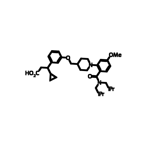 COc1ccc(C(=O)N(CC(C)C)CC(C)C)c(N2CCC(COc3cccc(C(CC(=O)O)C4CC4)c3)CC2)c1